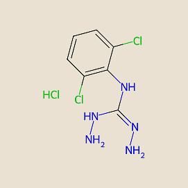 Cl.N/N=C(\NN)Nc1c(Cl)cccc1Cl